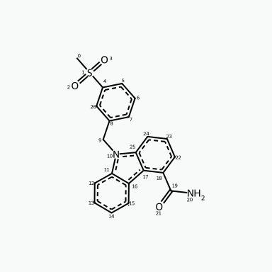 CS(=O)(=O)c1cccc(Cn2c3ccc[c]c3c3c(C(N)=O)cccc32)c1